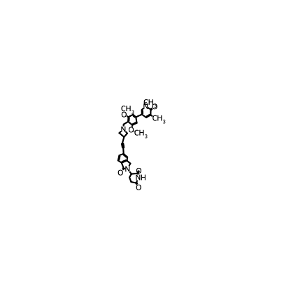 COc1cc(-c2cc(C)c(=O)n(C)c2)cc(OC)c1CN1CC(C#Cc2ccc3c(c2)CN(C2CCC(=O)NC2=O)C3=O)C1